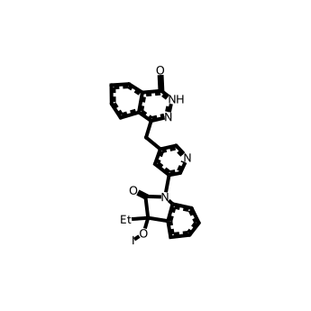 CCC1(OI)C(=O)N(c2cncc(Cc3n[nH]c(=O)c4ccccc34)c2)c2ccccc21